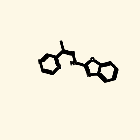 CC(=NNc1nc2ccccc2o1)c1cnccn1